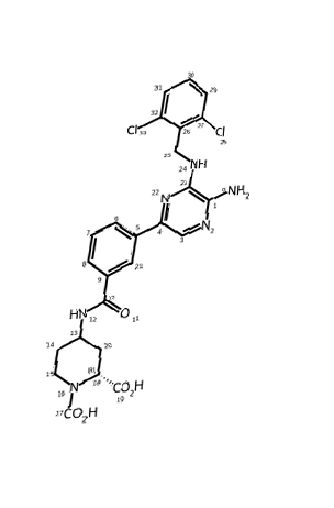 Nc1ncc(-c2cccc(C(=O)NC3CCN(C(=O)O)[C@@H](C(=O)O)C3)c2)nc1NCc1c(Cl)cccc1Cl